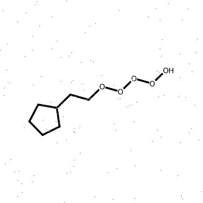 OOOOOCCC1CCCC1